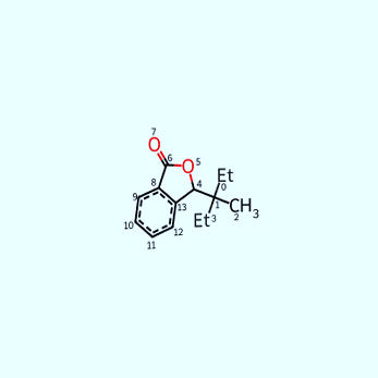 CCC(C)(CC)C1OC(=O)c2ccccc21